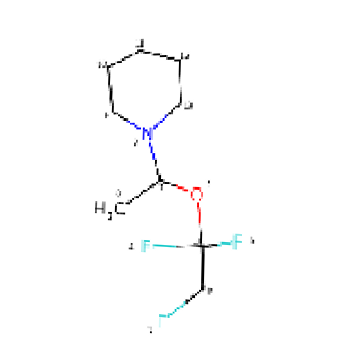 CC(OC(F)(F)CF)N1CCCCC1